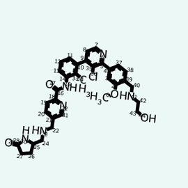 COc1cc(-c2nccc(-c3cccc(NC(=O)c4ccc(CNCC5CCC(=O)N5)cn4)c3C)c2Cl)ccc1CNCCO